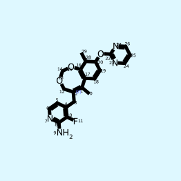 C/C1=C(\Cc2ccnc(N)c2F)COCOC2=C1C=CC(Oc1ncccn1)C2C